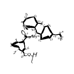 O=C(O)c1cccc(C(=O)N[C@@H](c2ccc(CF)cc2)c2ncccc2F)c1